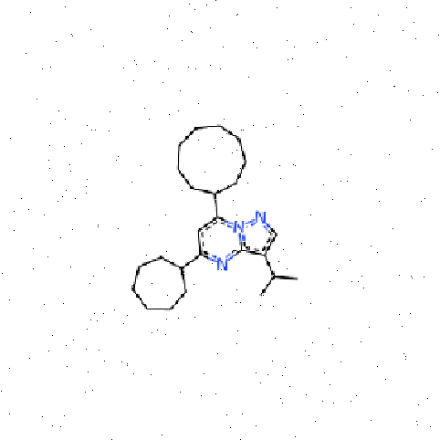 CC(C)c1cnn2c(C3CCCCCCCC3)cc(C3CCCCCC3)nc12